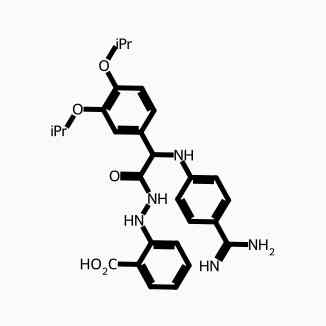 CC(C)Oc1ccc(C(Nc2ccc(C(=N)N)cc2)C(=O)NNc2ccccc2C(=O)O)cc1OC(C)C